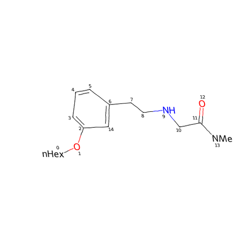 CCCCCCOc1cccc(CCNCC(=O)NC)c1